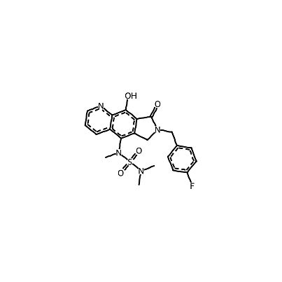 CN(C)S(=O)(=O)N(C)c1c2c(c(O)c3ncccc13)C(=O)N(Cc1ccc(F)cc1)C2